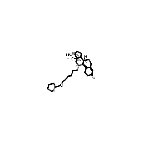 C[C@]12C[C@H](CCCCCCOC3CCCCO3)C3=C4CCC(=O)C=C4CC[C@H]3[C@@H]1CC[C@@H]2O